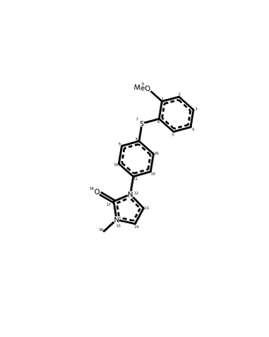 COc1ccccc1Sc1ccc(-n2ccn(C)c2=O)cc1